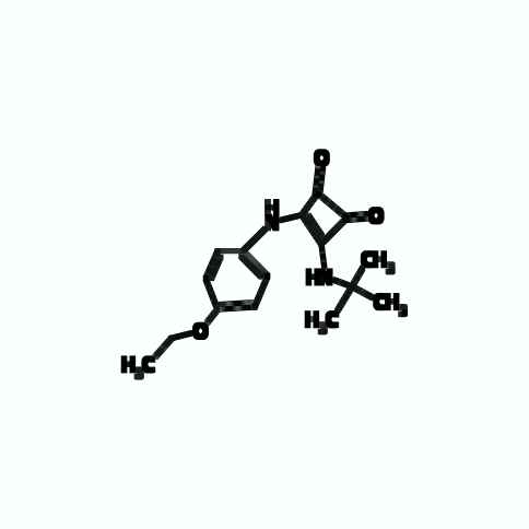 CCOc1ccc(Nc2c(NC(C)(C)C)c(=O)c2=O)cc1